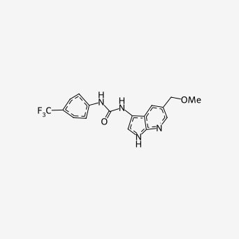 COCc1cnc2[nH]cc(NC(=O)Nc3ccc(C(F)(F)F)cc3)c2c1